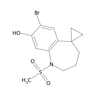 CS(=O)(=O)N1CCCC2(CC2)c2cc(Br)c(O)cc21